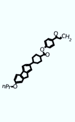 C=CC(=O)c1ccc(OC(=O)C2CCC(c3ccc4c(c3)Cc3cc(OCCC)ccc3-4)CC2)cc1